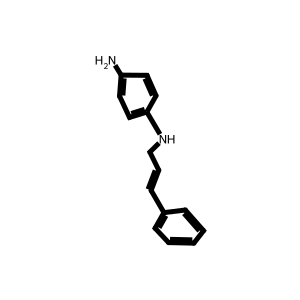 Nc1ccc(NCC=Cc2ccccc2)cc1